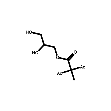 CC(=O)C(C)(C(C)=O)C(=O)OCC(O)CO